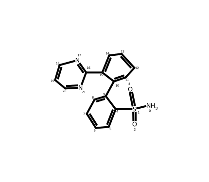 NS(=O)(=O)c1ccccc1-c1ccccc1-c1ncccn1